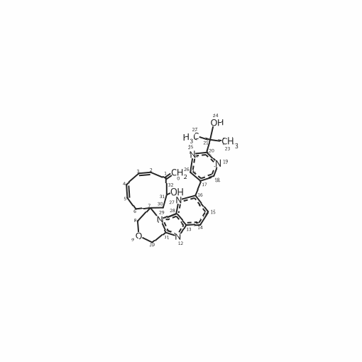 C=C1/C=C\C=C/CC2(COCc3nc4ccc(-c5cnc(C(C)(C)O)nc5)nc4n32)CC1O